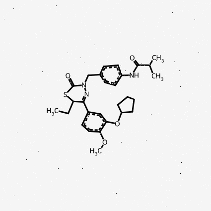 CCC1SC(=O)N(Cc2ccc(NC(=O)C(C)C)cc2)N=C1c1ccc(OC)c(OC2CCCC2)c1